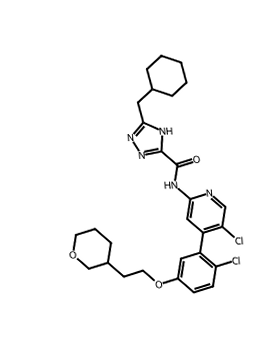 O=C(Nc1cc(-c2cc(OCCC3CCCOC3)ccc2Cl)c(Cl)cn1)c1nnc(CC2CCCCC2)[nH]1